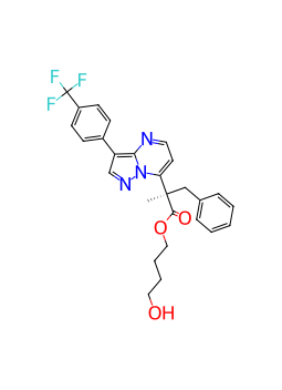 C[C@](Cc1ccccc1)(C(=O)OCCCCO)c1ccnc2c(-c3ccc(C(F)(F)F)cc3)cnn12